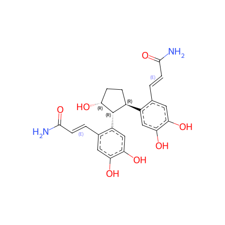 NC(=O)/C=C/c1cc(O)c(O)cc1[C@@H]1[C@H](O)CC[C@H]1c1cc(O)c(O)cc1/C=C/C(N)=O